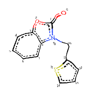 O=c1oc2ccccc2n1Cc1cccs1